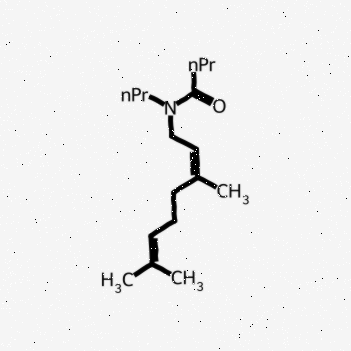 CCCC(=O)N(C/C=C(/C)CCC=C(C)C)CCC